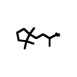 CC(=O)C(C)CCC1(C)CCCC1(C)C